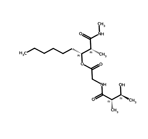 CCCCCC[C@@H](OC(=O)CNC(=O)[C@@H](C)[C@H](C)O)[C@@H](C)C(=O)NC